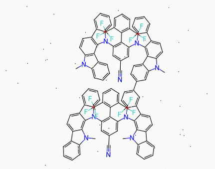 Cn1c2ccccc2c2c1ccc1c3ccccc3n(-c3cc(C#N)cc(-n4c5ccccc5c5ccc6c(c7ccc(-c8ccc9c(c8)c8ccc%10c%11ccccc%11n(C)c%10c8n9-c8cc(C#N)cc(-n9c%10ccccc%10c%10ccc%11c%12ccccc%12n(C)c%11c%109)c8-c8c(C(F)(F)F)cccc8C(F)(F)F)cc7n6C)c54)c3-c3c(C(F)(F)F)cccc3C(F)(F)F)c12